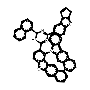 C1=Cc2c(oc3ccc(C4=NC(c5cccc6ccccc56)NC(c5ccc6oc7cc8ccccc8cc7c6c5-n5c6ccccc6c6cc7ccccc7cc65)=N4)cc23)C1